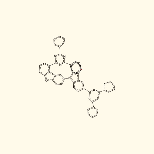 c1ccc(-c2cc(-c3ccccc3)cc(-c3ccc4c(c3)c3ccccc3n4-c3ccc4oc5cccc(-c6nc(-c7ccccc7)nc(-c7ccccc7)n6)c5c4c3)c2)cc1